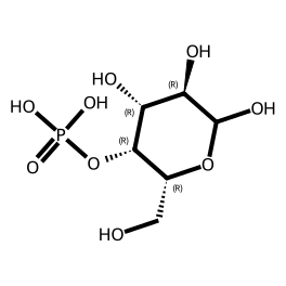 O=P(O)(O)O[C@@H]1[C@H](O)[C@@H](O)C(O)O[C@@H]1CO